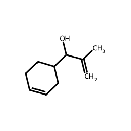 C=C(C)C(O)C1CC=CCC1